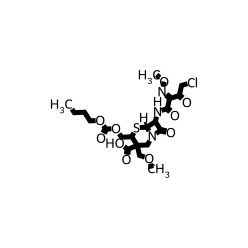 CCCCOC(=O)OCC1S[C@@H]2C(NC(=O)C(=NOC)C(=O)CCl)C(=O)N2CC1(COC)C(=O)O